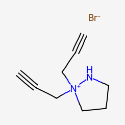 C#CC[N+]1(CC#C)CCCN1.[Br-]